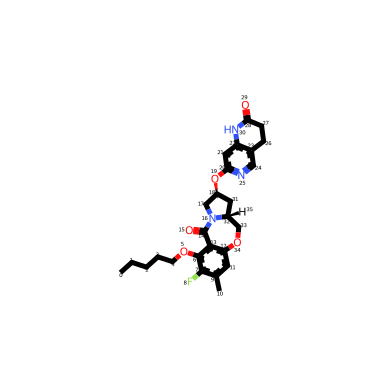 CCCCCOc1c(F)c(C)cc2c1C(=O)N1C[C@@H](Oc3cc4c(cn3)CCC(=O)N4)C[C@@H]1CO2